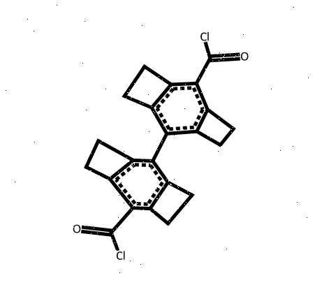 O=C(Cl)c1c2c(c(-c3c4c(c(C(=O)Cl)c5c3CC5)CC4)c3c1CC3)CC2